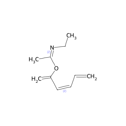 C=C/C=C\C(=C)O/C(C)=N\CC